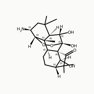 CC1(C)C[C@H](N)[C@H]2OO[C@]3(O)[C@@H](O)[C@H]1[C@]2(C)[C@@H]1CC[C@@H]2[C@H](O)[C@@]13C(=O)C2(C)C